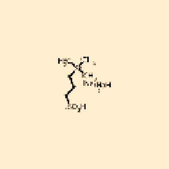 C[Si](C)(C)CCCS(=O)(=O)O.[NaH].[NaH]